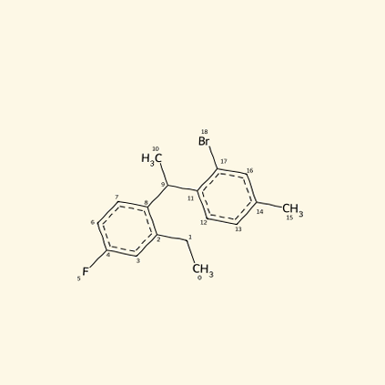 CCc1cc(F)ccc1C(C)c1ccc(C)cc1Br